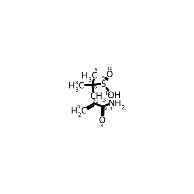 C=CC(N)=O.CC(C)(C)S(=O)O